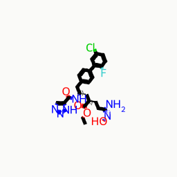 CCOC(=O)[C@H](CC/C(N)=N\O)C[C@@H](Cc1ccc(-c2cc(Cl)ccc2F)cc1)NC(=O)c1cnn[nH]1